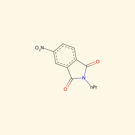 CCCN1C(=O)c2ccc([N+](=O)[O-])cc2C1=O